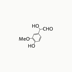 COc1cc(C(O)C=O)ccc1O